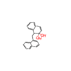 OC1(O)C=Cc2ccccc2C1Cc1cccc2ccccc12